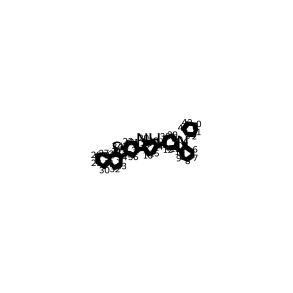 c1ccc(-n2c3ccccc3c3cc(-c4ccc5c(c4)[nH]c4cc6sc7c8ccccc8ccc7c6cc45)ccc32)cc1